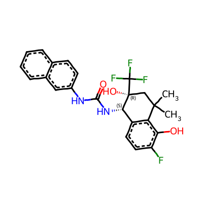 CC1(C)C[C@](O)(C(F)(F)F)[C@@H](NC(=O)Nc2ccc3ccccc3c2)c2ccc(F)c(O)c21